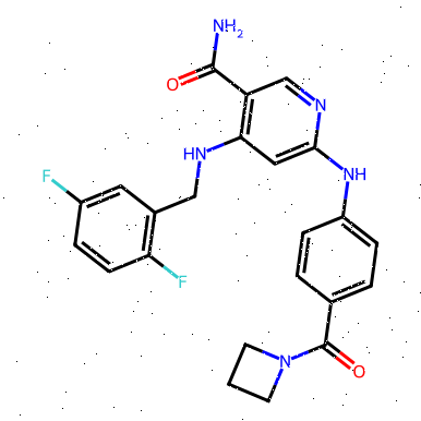 NC(=O)c1cnc(Nc2ccc(C(=O)N3CCC3)cc2)cc1NCc1cc(F)ccc1F